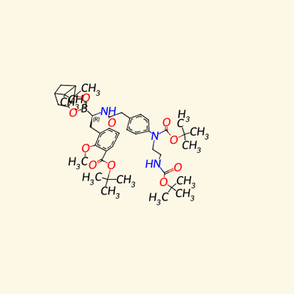 COc1c(C[C@H](NC(=O)Cc2ccc(N(CCNC(=O)OC(C)(C)C)C(=O)OC(C)(C)C)cc2)B2OC3CC4CC(C4(C)C)C3(C)O2)cccc1C(=O)OC(C)(C)C